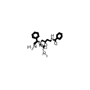 CCOC(CCNC(=O)c1ccccc1)CN(N)/C(=C\N)c1ccccc1